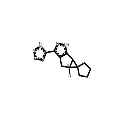 C1CCC2(C1)C1c3[nH]nc(-c4nnn[nH]4)c3C[C@H]12